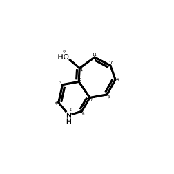 OC1=C2C=CNC=C2C=CC=C1